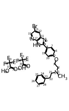 CN(CCOc1ccc(-c2nc3cc(Br)cnc3[nH]2)cc1)CCc1ccccc1.O=C(O)C(F)(F)F.O=C(O)C(F)(F)F